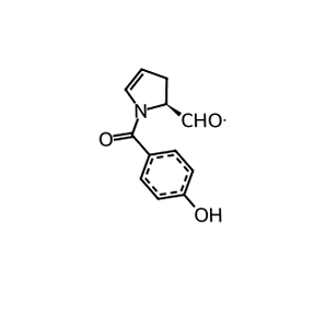 O=[C][C@@H]1CC=CN1C(=O)c1ccc(O)cc1